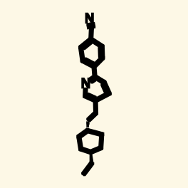 CC[C@H]1CC[C@H](CCc2ccc(-c3ccc(C#N)cc3)nc2)CC1